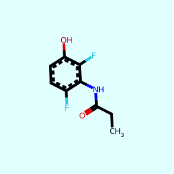 CCC(=O)Nc1c(F)ccc(O)c1F